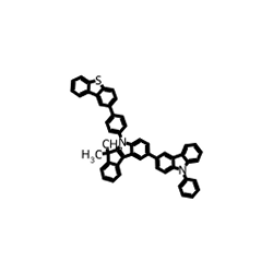 CC1(C)c2ccccc2-c2c1n(-c1ccc(-c3ccc4sc5ccccc5c4c3)cc1)c1ccc(-c3ccc4c(c3)c3ccccc3n4-c3ccccc3)cc21